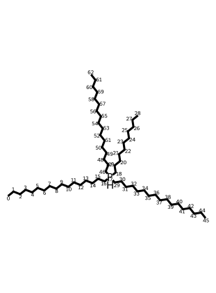 CCCCCCCCCCCCCCCCC[PH](CCCCCCCCCCC)(CCCCCCCCCCCCCCCCC)CCCCCCCCCCCCCCCCC